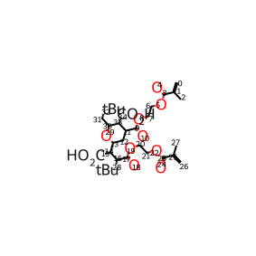 C=C(C)C(=O)OCCOC(=O)C1CC(C(C(=O)O)C(C(=O)OCCOC(=O)C(=C)C)C(C)(C)C)OC(CC(C)(C)C)C1C(=O)O